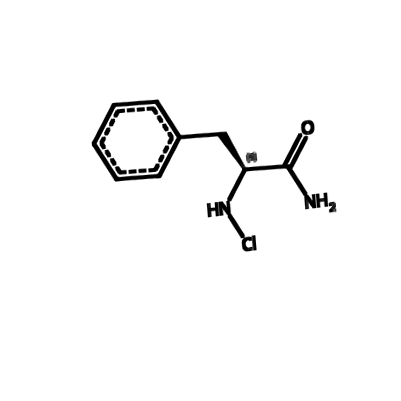 NC(=O)[C@H](Cc1ccccc1)NCl